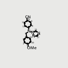 COc1ccc(CN(c2ccc(C#N)cc2)n2cncn2)cc1